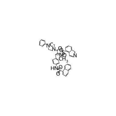 CN([C@@H](Cc1ccc(NS(=O)(=O)c2cccc3ccccc23)cc1)C(=O)N1CCN(c2ccccc2)CC1)S(=O)(=O)c1cccc2cnccc12